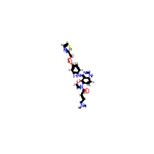 CN(C)C/C=C/C(=O)N1CCOc2c1ccc1ncnc(Nc3ccc(OCc4nccs4)cc3)c21